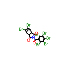 O=C(c1c(Br)c(Br)c(Br)c(Br)c1Br)N1C(=O)C2C3CC(C(Br)C3Br)C2C1=O